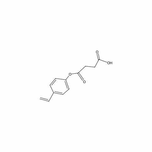 C=Cc1ccc(OC(=O)CCC(=O)O)cc1